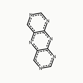 c1ncc2nc3cncnc3nc2n1